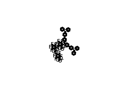 O=S(=O)([O-])c1c(F)c(F)c(F)c(F)c1F.O=S(=O)([O-])c1c(F)c(F)c(F)c(F)c1F.O=S(=O)([O-])c1c(F)c(F)c(F)c(F)c1F.c1ccc([S+](c2ccccc2)c2ccc(-c3ccc([I+]c4ccc(-c5ccc([S+](c6ccccc6)c6ccccc6)cc5)cc4)cc3)cc2)cc1